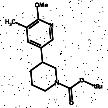 COc1ncc(C2CCCN(C(=O)OC(C)(C)C)C2)cc1C